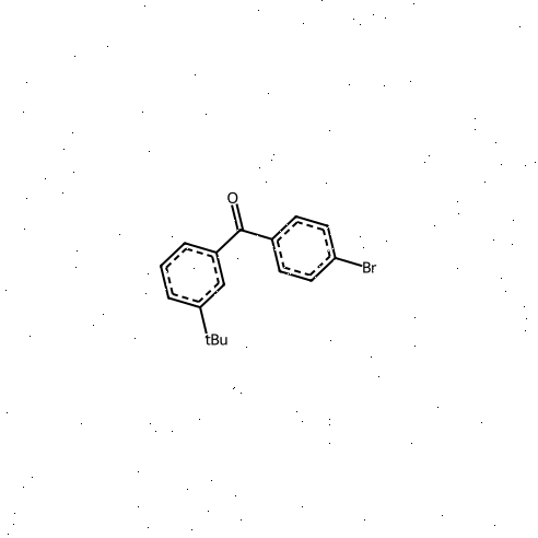 CC(C)(C)c1cccc(C(=O)c2ccc(Br)cc2)c1